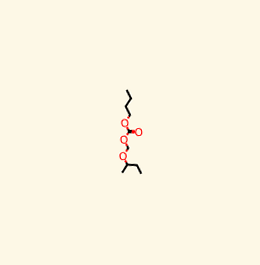 CCCCOC(=O)OCOC(C)CC